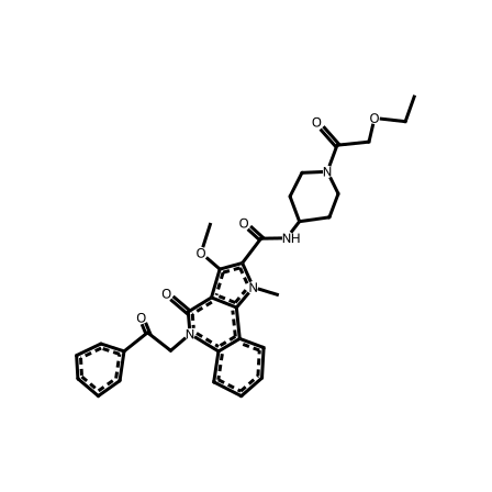 CCOCC(=O)N1CCC(NC(=O)c2c(OC)c3c(=O)n(CC(=O)c4ccccc4)c4ccccc4c3n2C)CC1